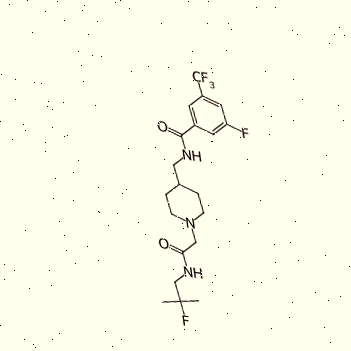 CC(C)(F)CNC(=O)CN1CCC(CNC(=O)c2cc(F)cc(C(F)(F)F)c2)CC1